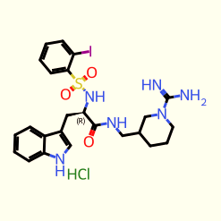 Cl.N=C(N)N1CCCC(CNC(=O)[C@@H](Cc2c[nH]c3ccccc23)NS(=O)(=O)c2ccccc2I)C1